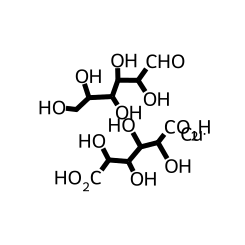 O=C(O)C(O)C(O)C(O)C(O)C(=O)O.O=CC(O)C(O)C(O)C(O)CO.[Cu]